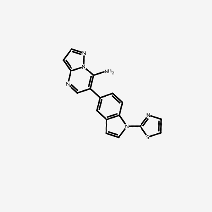 Nc1c(-c2ccc3c(ccn3-c3nccs3)c2)cnc2ccnn12